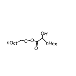 CCCCCCCCCCOC(=O)C(O)CCCCCC